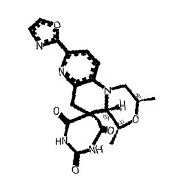 C[C@@H]1CN2c3ccc(-c4ncco4)nc3CC3(C(=O)NC(=O)NC3=O)[C@H]2[C@H](C)O1